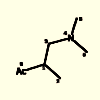 CC(=O)C(C)CN(C)C